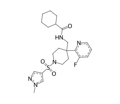 Cn1cc(S(=O)(=O)N2CCC(CNC(=O)C3CCCCC3)(c3ncccc3F)CC2)cn1